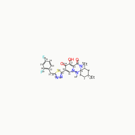 CCC1CCC2(CC1)N(CC)C(=O)c1c(O)c(=O)c(-c3nnc(Cc4ccc(F)cc4F)s3)cn1N2C